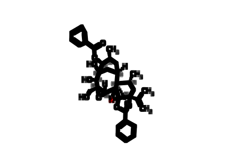 C=C(C)[C@]12C[C@@H](C)[C@@]34OC(c5ccccc5)(O[C@@H]1[C@@H]3[C@@H]1O[C@]1(CO)[C@@H](O)[C@@]1(O)C[C@H]4C[C@H](C)[C@@H]1OC(=O)c1ccccc1)O2